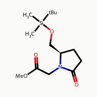 COC(=O)CN1C(=O)CC[C@@H]1CO[Si](C)(C)C(C)(C)C